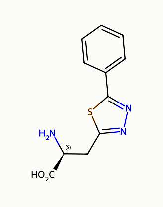 N[C@@H](Cc1nnc(-c2ccccc2)s1)C(=O)O